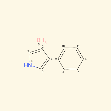 B.c1cc[nH]c1.c1ccccc1